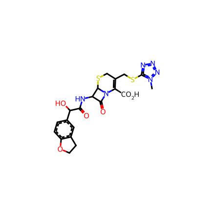 Cn1nnnc1SCC1=C(C(=O)O)N2C(=O)C(NC(=O)C(O)c3ccc4c(c3)CCO4)C2SC1